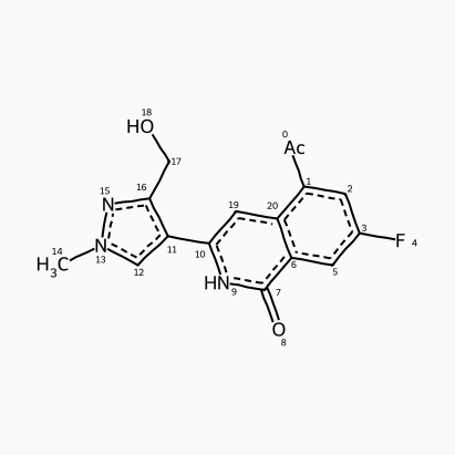 CC(=O)c1cc(F)cc2c(=O)[nH]c(-c3cn(C)nc3CO)cc12